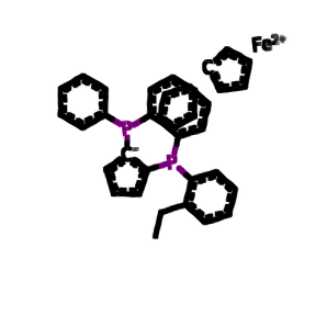 CCc1ccccc1P(c1ccccc1)c1ccc[c-]1P(c1ccccc1)c1ccccc1.[Fe+2].c1cc[cH-]c1